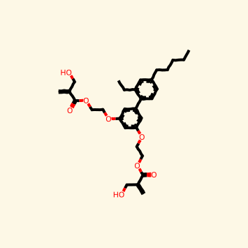 C=C(CO)C(=O)OCCOc1cc(OCCOC(=O)C(=C)CO)cc(-c2ccc(CCCCC)cc2CC)c1